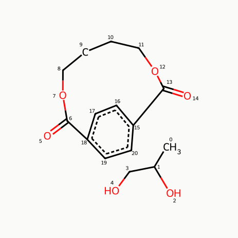 CC(O)CO.O=C1OCCCCOC(=O)c2ccc1cc2